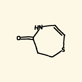 O=C1CCSC=CN1